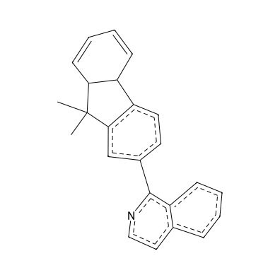 CC1(C)c2cc(-c3nccc4ccccc34)ccc2C2C=CC=CC21